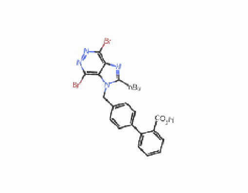 CCCCc1nc2c(Br)nnc(Br)c2n1Cc1ccc(-c2ccccc2C(=O)O)cc1